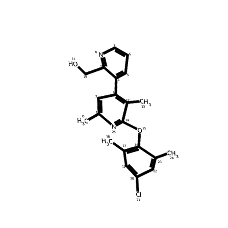 Cc1cc(-c2cccnc2CO)c(C)c(Oc2c(C)cc(Cl)cc2C)n1